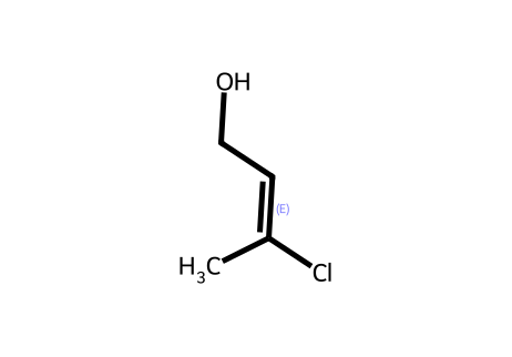 C/C(Cl)=C\CO